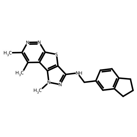 Cc1nnc2sc3c(NCc4ccc5c(c4)CCC5)nn(C)c3c2c1C